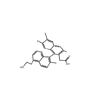 Cc1cc2cc(C)c(CC(=O)O)c(-c3c(C)ccc4c(CCO)ccnc34)c2cc1F